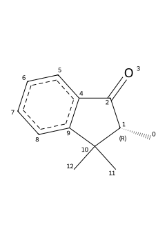 C[C@H]1C(=O)c2ccccc2C1(C)C